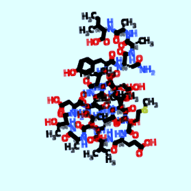 CC[C@H](C)[C@H](NC(=O)[C@H](C)NC(=O)[C@H](C)NC(=O)[C@H](CC(N)=O)NC(=O)[C@H](Cc1ccc(O)cc1)NC(=O)[C@@H](NC(=O)[C@H](CC(N)=O)NC(=O)[C@@H](NC(=O)[C@H](CC(=O)O)NC(=O)[C@H](CC(=O)O)NC(=O)[C@H](CC(=O)O)NC(=O)[C@H](C)NC(=O)[C@H](CC(=O)O)NC(=O)[C@@H](NC(=O)[C@H](C)NC(=O)[C@@H](NC(=O)[C@@H](NC(=O)[C@H](CCC(=O)O)NC(=O)[C@H](CCSC)NC(=O)[C@@H](N)C(C)C)C(C)C)[C@@H](C)O)[C@@H](C)O)C(C)C)[C@@H](C)O)C(=O)O